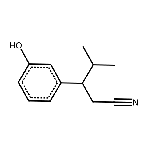 CC(C)C(CC#N)c1cccc(O)c1